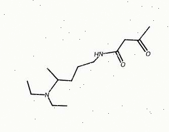 CCN(CC)C(C)CCCNC(=O)CC(C)=O